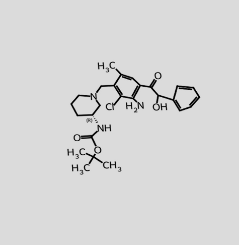 Cc1cc(C(=O)C(O)c2ccccc2)c(N)c(Cl)c1CN1CCC[C@@H](NC(=O)OC(C)(C)C)C1